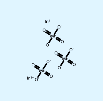 [In+3].[In+3].[O]=[Mn](=[O])([O-])[O-].[O]=[Mn](=[O])([O-])[O-].[O]=[Mn](=[O])([O-])[O-]